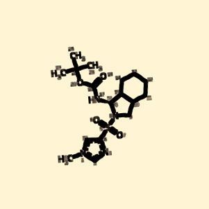 Cn1cnc(S(=O)(=O)N2CC3CCCCC3[C@@H]2NC(=O)OC(C)(C)C)c1